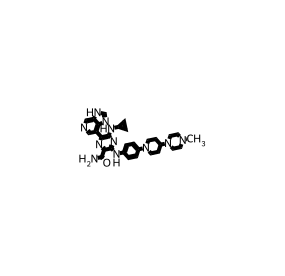 CN1CCN(C2CCN(c3ccc(Nc4nc(NC5CC5)c(-c5cncc6[nH]cnc56)nc4C(N)=O)cc3)CC2)CC1